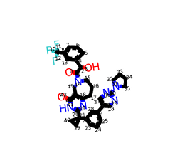 O=C(C(O)c1cccc(C(F)(F)F)c1)N1CCCc2nc(C3(c4cccc(-c5cnc(N6CCCC6)nc5)c4)CC3)[nH]c(=O)c2C1